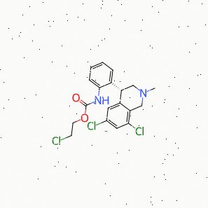 CN1Cc2c(Cl)cc(Cl)cc2[C@H](c2ccccc2NC(=O)OCCCl)C1